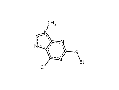 CCSc1nc(Cl)c2ncn(C)c2n1